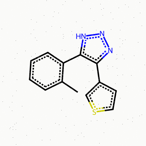 Cc1ccccc1-c1[nH]nnc1-c1ccsc1